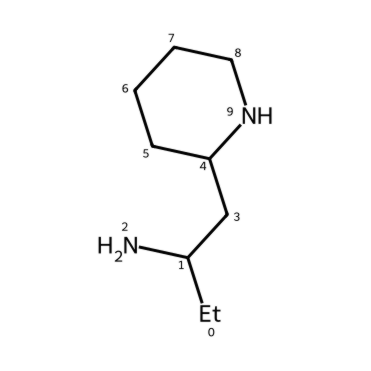 CCC(N)CC1CCCCN1